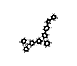 C1=CCCC(N(c2ccccc2)C2C=CC(c3ccc(N(c4ccccc4)c4ccc(-c5ccc(-c6ccc(-c7ccccc7)s6)cc5)cc4)cc3)=CC2)=C1